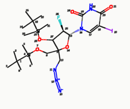 CC(C)(C)[Si](C)(C)OCC1(CN=[N+]=[N-])O[C@@H](n2cc(I)c(=O)[nH]c2=O)[C@H](F)C1O[Si](C)(C)C(C)(C)C